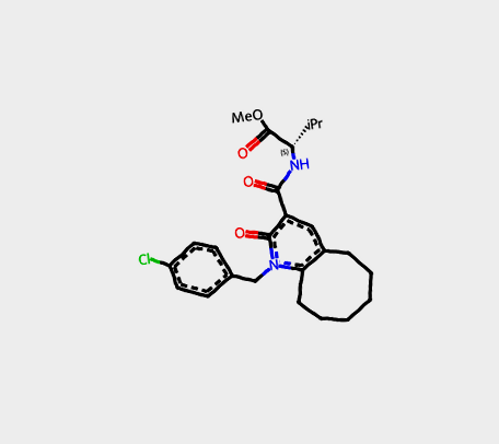 COC(=O)[C@@H](NC(=O)c1cc2c(n(Cc3ccc(Cl)cc3)c1=O)CCCCCC2)C(C)C